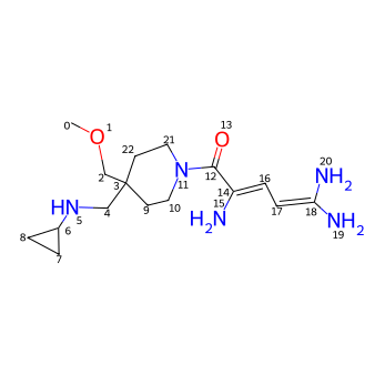 COCC1(CNC2CC2)CCN(C(=O)/C(N)=C/C=C(N)N)CC1